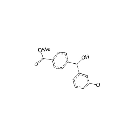 COC(=O)c1ccc(C(O)c2cccc(Cl)c2)cc1